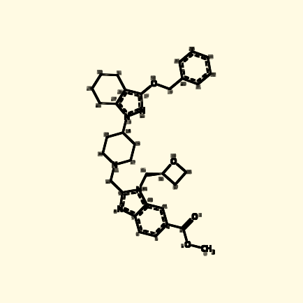 COC(=O)c1ccc2nc(CN3CCC(n4nc(OCc5ccccc5)c5c4CCCC5)CC3)n(C[C@@H]3CCO3)c2c1